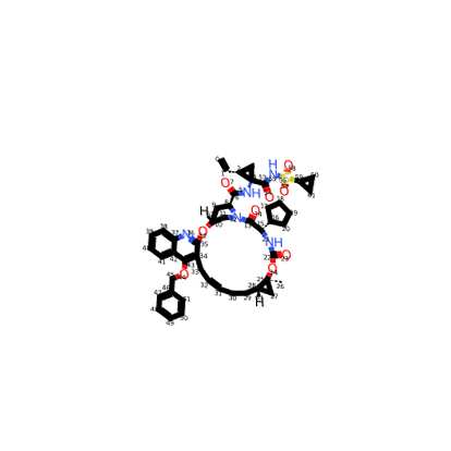 C=C[C@@H]1C[C@]1(NC(=O)[C@@H]1C[C@@H]2CN1C(=O)[C@H](C1CCCC1)NC(=O)O[C@@]1(C)C[C@@H]1CCC=CCc1c(nc3ccccc3c1OCc1ccccc1)O2)C(=O)NS(=O)(=O)C1CC1